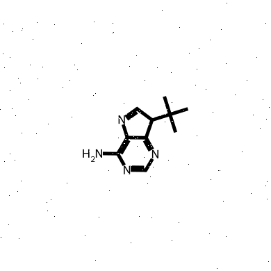 CC(C)(C)C1C=Nc2c(N)ncnc21